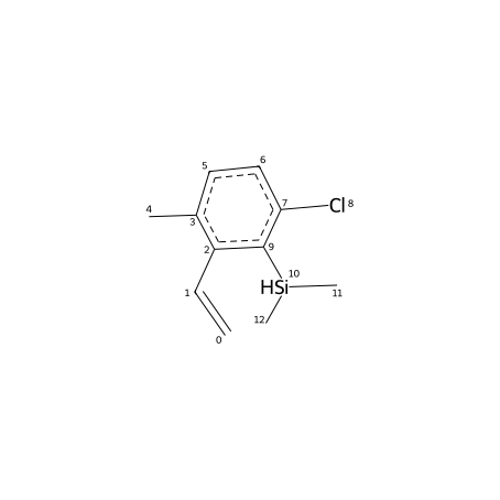 C=Cc1c(C)ccc(Cl)c1[SiH](C)C